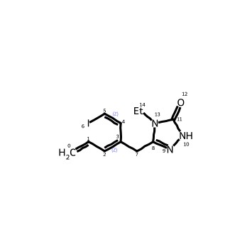 C=C/C=C(\C=C/I)Cc1n[nH]c(=O)n1CC